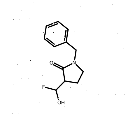 O=C1C(C(O)F)CCN1Cc1ccccc1